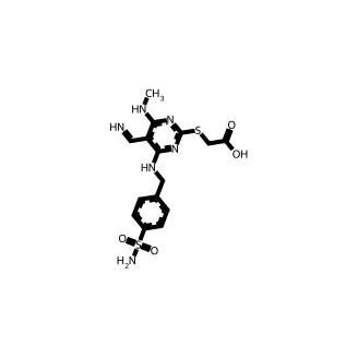 CNc1nc(SCC(=O)O)nc(NCc2ccc(S(N)(=O)=O)cc2)c1C=N